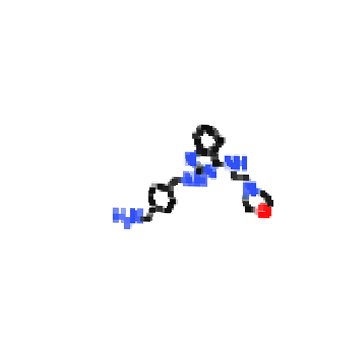 NCC1CCC(CNc2nc(NCCN3CCOCC3)c3ccccc3n2)CC1